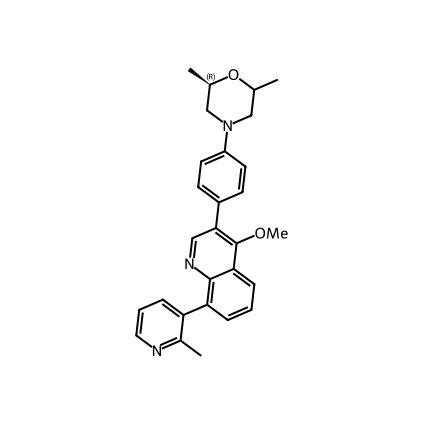 COc1c(-c2ccc(N3CC(C)O[C@H](C)C3)cc2)cnc2c(-c3cccnc3C)cccc12